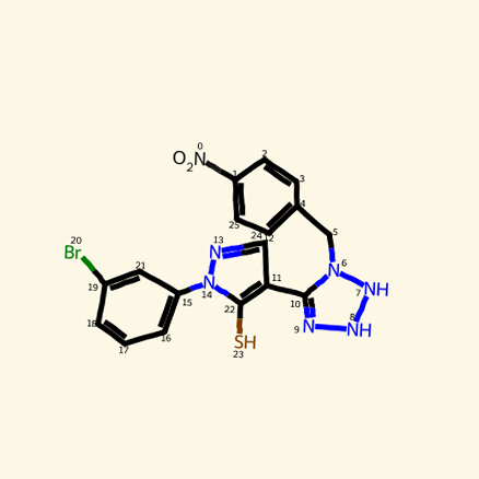 O=[N+]([O-])c1ccc(CN2NNN=C2c2cnn(-c3cccc(Br)c3)c2S)cc1